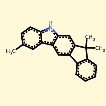 Cc1ccc2[nH]c3cc4c(cc3c2c1)-c1ccccc1C4(C)C